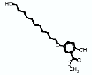 COC(=O)c1cc(OCCCCCCCCCCCO)ccc1O